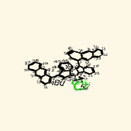 CCC(C)C1=C(c2cccc3cc4ccccc4cc23)c2ccccc2[CH]1[Zr+2]1([CH]2C(C(C)CC)=C(c3cccc4cc5ccccc5cc34)c3ccccc32)[CH2][CH2]1.[Cl-].[Cl-]